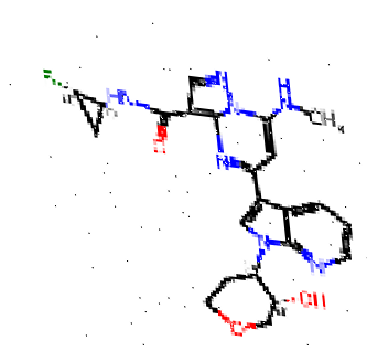 CNc1cc(-c2cn([C@@H]3CCOC[C@H]3O)c3ncccc23)nc2c(C(=O)N[C@@H]3C[C@@H]3F)cnn12